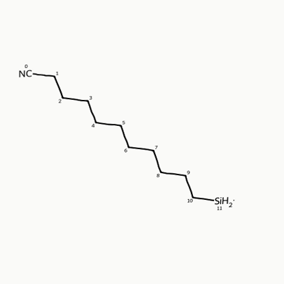 N#CCCCCCCCCCC[SiH2]